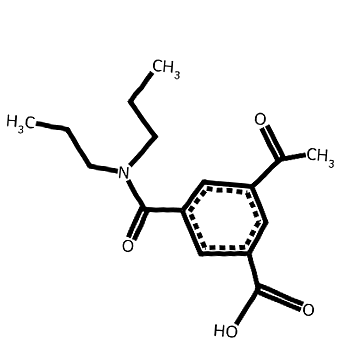 CCCN(CCC)C(=O)c1cc(C(C)=O)cc(C(=O)O)c1